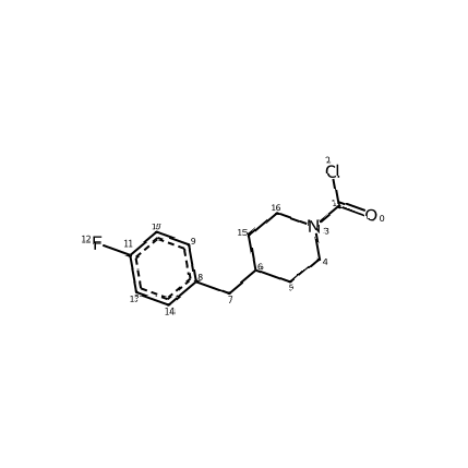 O=C(Cl)N1CCC(Cc2ccc(F)cc2)CC1